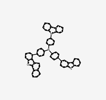 c1ccc2c(c1)ccc1c2oc2cccc(-c3ccc(N(c4ccc(-c5ccc6sc7ccccc7c6c5)cc4)c4ccc(-n5c6ccccc6c6ccccc65)cc4)cc3)c21